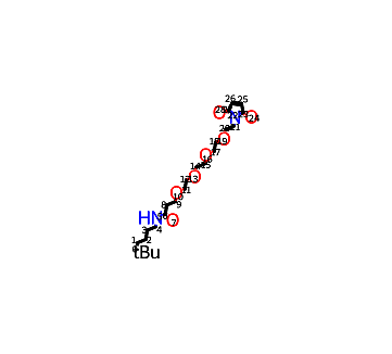 CC(C)(C)CCCCNC(=O)CCOCCOCCOCCOCCN1C(=O)C=CC1=O